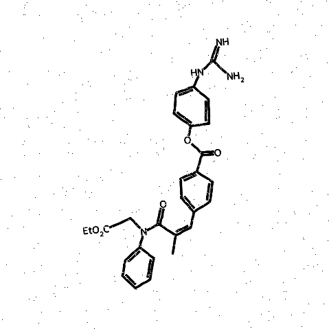 CCOC(=O)CN(C(=O)C(C)=Cc1ccc(C(=O)Oc2ccc(NC(=N)N)cc2)cc1)c1ccccc1